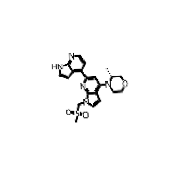 C[C@@H]1COCCN1c1cc(-c2ccnc3[nH]ccc23)nc2c1ccn2CS(C)(=O)=O